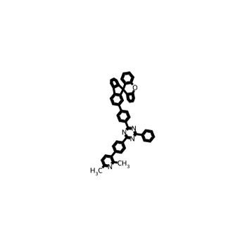 Cc1ccc(-c2ccc(-c3nc(-c4ccccc4)nc(-c4ccc(-c5ccc6c(c5)C5(c7ccccc7Oc7ccccc75)c5ccccc5-6)cc4)n3)cc2)c(C)n1